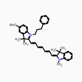 COc1ccc2c(c1)C(C)(C)C(/C=C/C=C/C=C/C=C1/N(C)c3ccccc3C1(C)C)=[N+]2CCCc1ccccc1